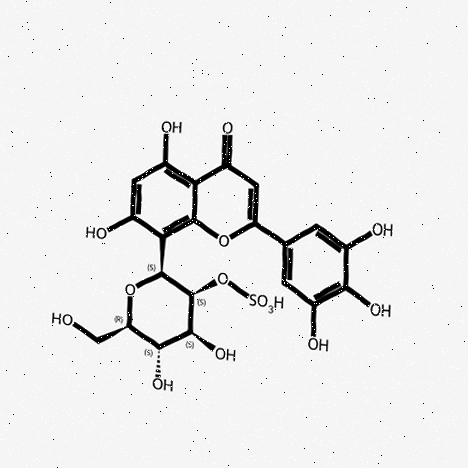 O=c1cc(-c2cc(O)c(O)c(O)c2)oc2c([C@@H]3O[C@H](CO)[C@@H](O)[C@H](O)[C@@H]3OS(=O)(=O)O)c(O)cc(O)c12